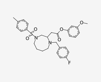 COc1cccc(OC(=O)CC2CN(S(=O)(=O)c3ccc(C)cc3)CCCCN2Cc2ccc(F)cc2)c1